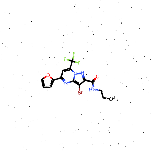 CCCNC(=O)c1nn2c(C(F)(F)F)cc(-c3ccco3)nc2c1Br